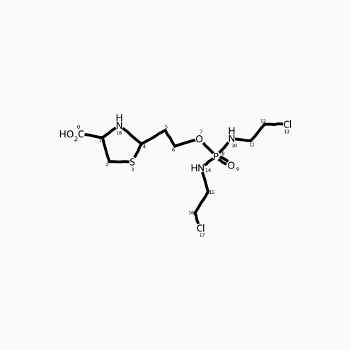 O=C(O)C1CSC(CCOP(=O)(NCCCl)NCCCl)N1